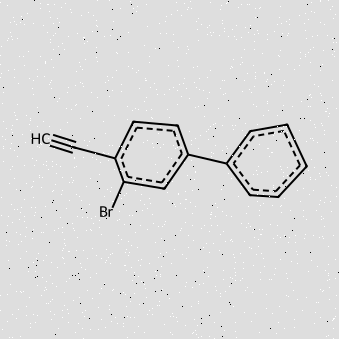 C#Cc1ccc(-c2ccccc2)cc1Br